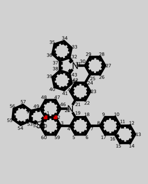 c1ccc(-c2ccc(-c3ccc4ccccc4c3)cc2N(c2ccc(-c3ccccc3-n3c4ccccc4c4ccccc43)cc2)c2ccc3c(c2)sc2ccccc23)cc1